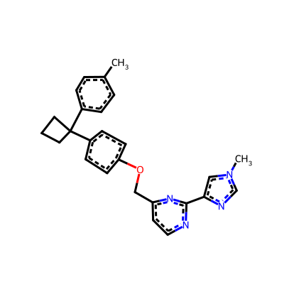 Cc1ccc(C2(c3ccc(OCc4ccnc(-c5cn(C)cn5)n4)cc3)CCC2)cc1